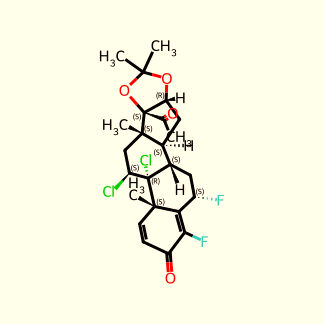 CC(=O)[C@@]12OC(C)(C)O[C@@H]1C[C@H]1[C@@H]3C[C@H](F)C4=C(F)C(=O)C=C[C@]4(C)[C@@]3(Cl)[C@@H](Cl)C[C@@]12C